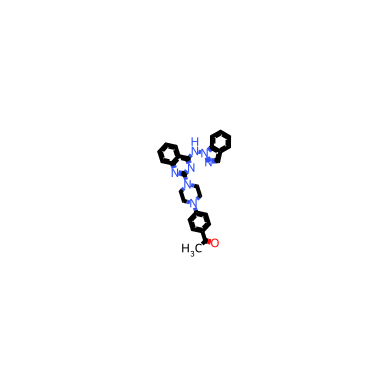 CC(=O)c1ccc(N2CCN(c3nc(Nn4ncc5ccccc54)c4ccccc4n3)CC2)cc1